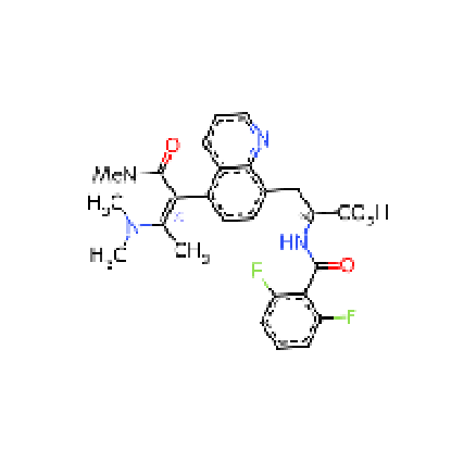 CNC(=O)/C(=C(/C)N(C)C)c1ccc(C[C@H](NC(=O)c2c(F)cccc2F)C(=O)O)c2ncccc12